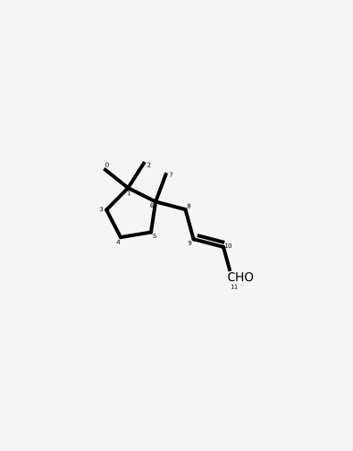 CC1(C)CCCC1(C)C/C=C/C=O